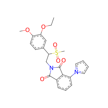 CCOc1cc(C(CN2C(=O)c3cccc(-n4cccc4)c3C2=O)S(C)(=O)=O)ccc1OC